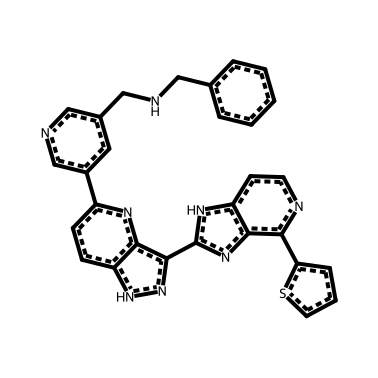 c1ccc(CNCc2cncc(-c3ccc4[nH]nc(-c5nc6c(-c7cccs7)nccc6[nH]5)c4n3)c2)cc1